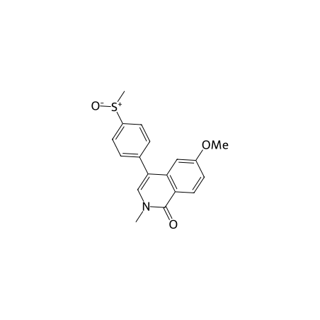 COc1ccc2c(=O)n(C)cc(-c3ccc([S+](C)[O-])cc3)c2c1